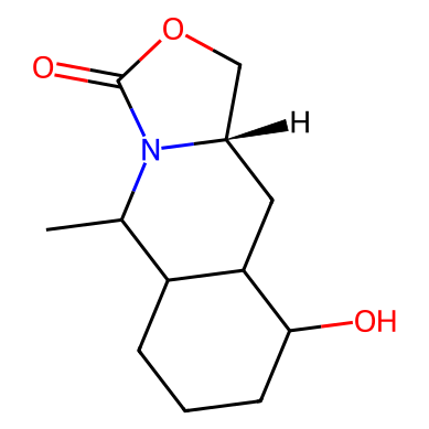 CC1C2CCCC(O)C2C[C@H]2COC(=O)N12